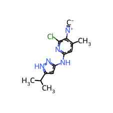 [C-]#[N+]c1c(C)cc(Nc2cc(C(C)C)[nH]n2)nc1Cl